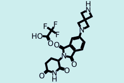 O=C(O)C(F)(F)F.O=C1CCC(N2C(=O)c3ccc(N4CC5(CNC5)C4)cc3C2=O)C(=O)N1